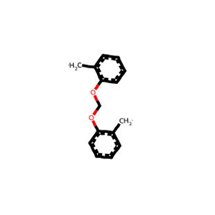 [CH2]c1ccccc1OCOc1ccccc1[CH2]